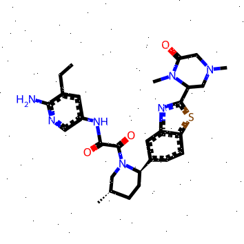 CCc1cc(NC(=O)C(=O)N2C[C@@H](C)CC[C@@H]2c2ccc3sc(C4CN(C)CC(=O)N4C)nc3c2)cnc1N